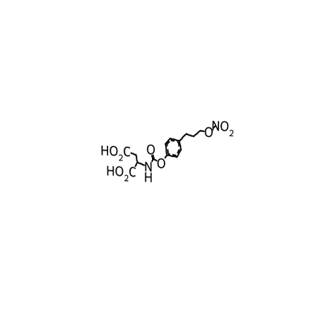 O=C(O)CC(NC(=O)Oc1ccc(CCCO[N+](=O)[O-])cc1)C(=O)O